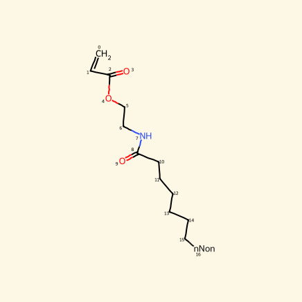 C=CC(=O)OCCNC(=O)CCCCCCCCCCCCCCC